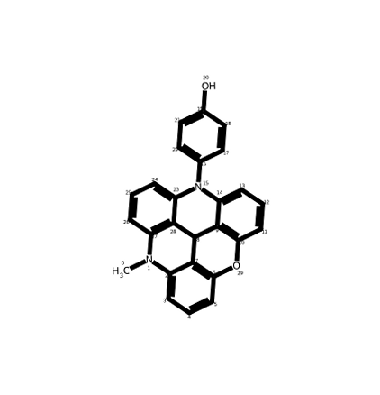 CN1c2cccc3c2C2c4c(cccc4N(c4ccc(O)cc4)c4cccc1c42)O3